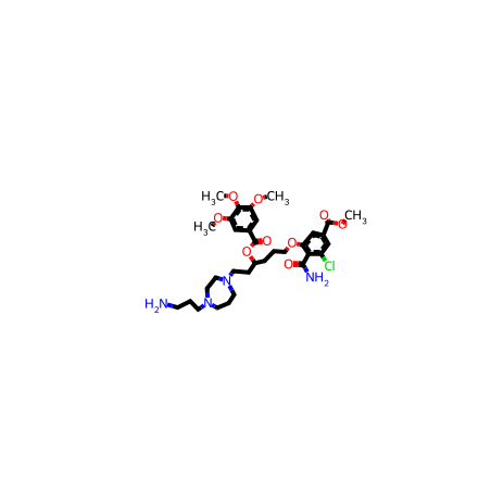 COC(=O)c1cc(Cl)c(C(N)=O)c(OCCCC(CCN2CCCN(CCCN)CC2)OC(=O)c2cc(OC)c(OC)c(OC)c2)c1